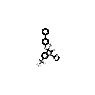 CC(Oc1ccc(-c2ccccc2)cc1)(C(=O)NC1=NCCS1)c1ccc(S(C)(=O)=O)cc1